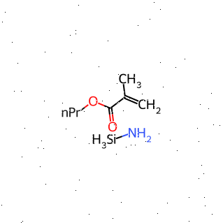 C=C(C)C(=O)OCCC.N[SiH3]